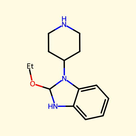 CCOC1Nc2ccccc2N1C1CCNCC1